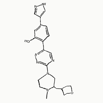 CN1CCN(c2ncc(-c3ccc(-c4cn[nH]c4)cc3O)nn2)CC1C1COC1